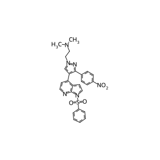 CN(C)CCn1cc(-c2ccnc3c2ccn3S(=O)(=O)c2ccccc2)c(-c2ccc([N+](=O)[O-])cc2)n1